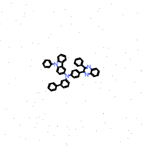 c1ccc(-c2cccc(N(c3ccc(-c4nc5ccccc5nc4-c4ccccc4)cc3)c3ccc4c(c3)c3ccccc3n4-c3ccccc3)c2)cc1